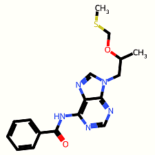 CSCOC(C)Cn1cnc2c(NC(=O)c3ccccc3)ncnc21